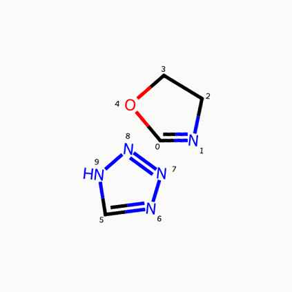 C1=NCCO1.c1nnn[nH]1